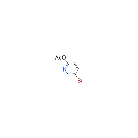 CC(=O)Oc1ccc(Br)cn1